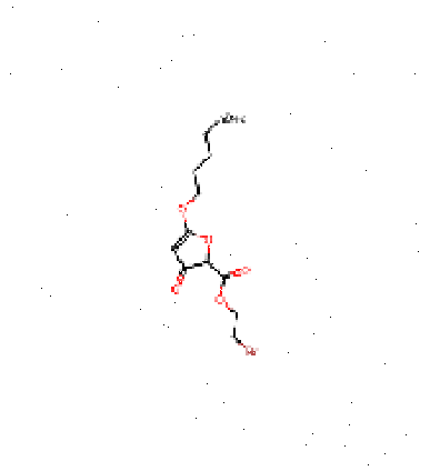 CCCCCCCCCCCCCCOC1=CC(=O)C(C(=O)OCCBr)O1